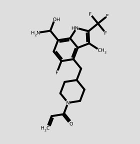 C=CC(=O)N1CCC(Cc2c(F)cc(C(N)O)c3[nH]c(C(F)(F)F)c(C)c23)CC1